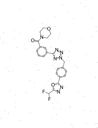 O=C(c1cccc(-c2nnn(Cc3ccc(-c4nnc(C(F)F)o4)cc3)n2)c1)N1CCOCC1